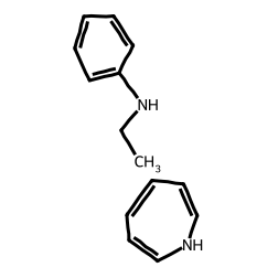 C1=CC=CNC=C1.CCNc1ccccc1